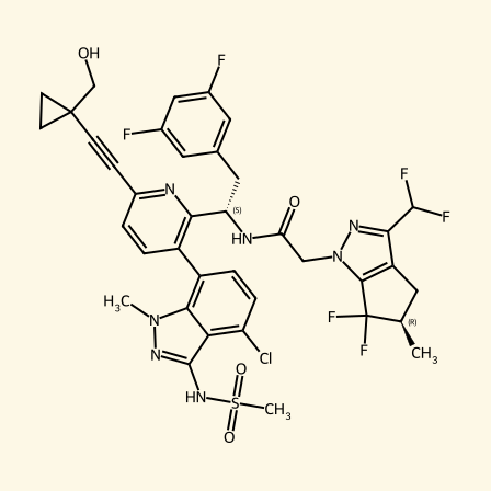 C[C@@H]1Cc2c(C(F)F)nn(CC(=O)N[C@@H](Cc3cc(F)cc(F)c3)c3nc(C#CC4(CO)CC4)ccc3-c3ccc(Cl)c4c(NS(C)(=O)=O)nn(C)c34)c2C1(F)F